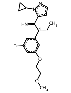 CC[C@@H](C(=N)c1ccnn1C1CC1)c1cc(F)cc(OCCOC)c1